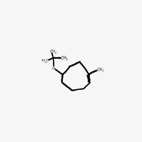 CC1=CCCCC(OC(C)(C)C)CC1